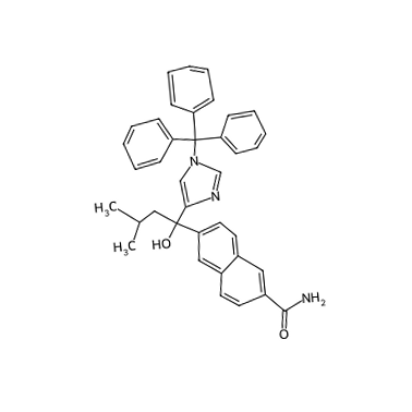 CC(C)CC(O)(c1ccc2cc(C(N)=O)ccc2c1)c1cn(C(c2ccccc2)(c2ccccc2)c2ccccc2)cn1